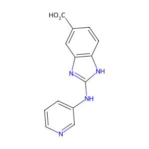 O=C(O)c1ccc2[nH]c(Nc3cccnc3)nc2c1